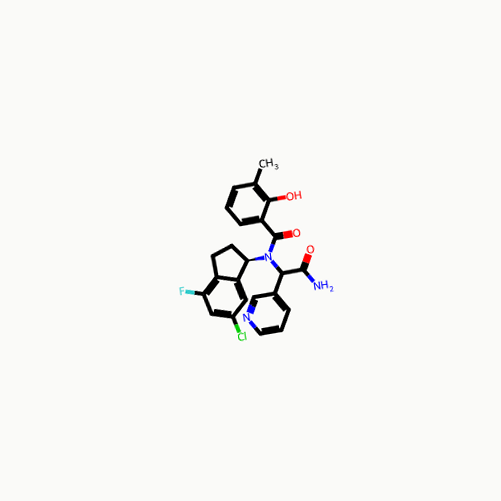 Cc1cccc(C(=O)N(C(C(N)=O)c2cccnc2)[C@@H]2CCc3c(F)cc(Cl)cc32)c1O